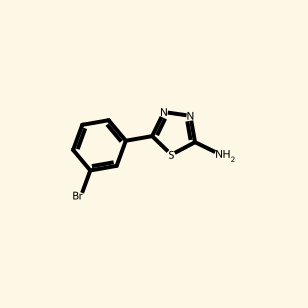 Nc1nnc(-c2cccc(Br)c2)s1